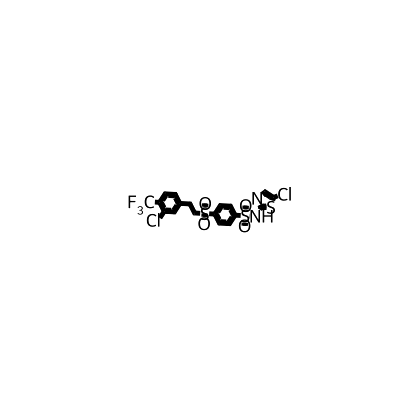 O=S(=O)(CCc1ccc(C(F)(F)F)c(Cl)c1)c1ccc(S(=O)(=O)Nc2ncc(Cl)s2)cc1